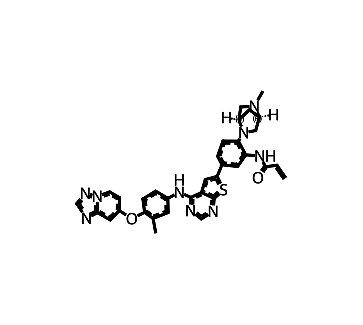 C=CC(=O)Nc1cc(-c2cc3c(Nc4ccc(Oc5ccn6ncnc6c5)c(C)c4)ncnc3s2)ccc1N1C[C@H]2C[C@@H]1CN2C